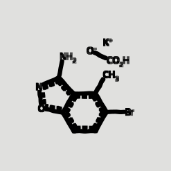 Cc1c(Br)ccc2onc(N)c12.O=C([O-])O.[K+]